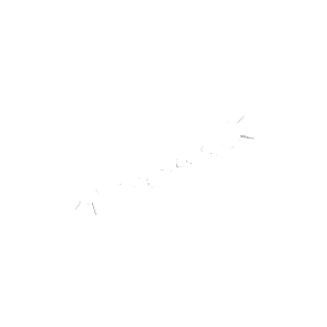 C=CC(=C)CCCCCOCCOCCCCCC(=C)C=C